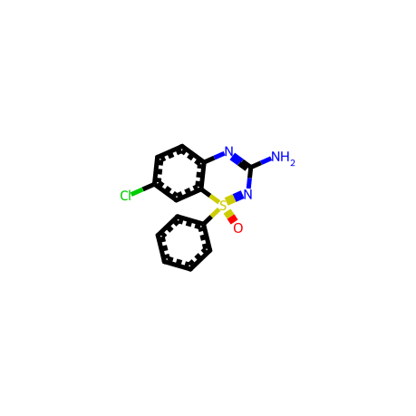 NC1=Nc2ccc(Cl)cc2S(=O)(c2ccccc2)=N1